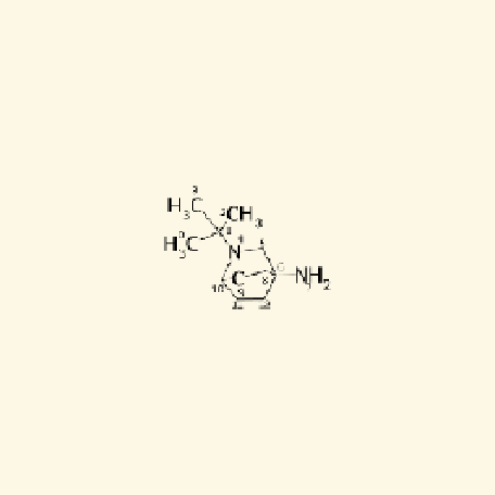 CC(C)(C)N1CC2(N)CCC1CC2